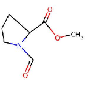 COC(=O)C1CCCN1C=O